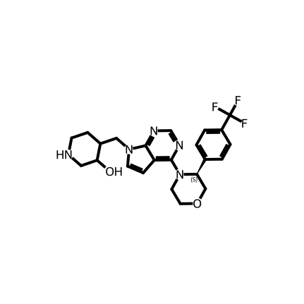 OC1CNCCC1Cn1ccc2c(N3CCOC[C@@H]3c3ccc(C(F)(F)F)cc3)ncnc21